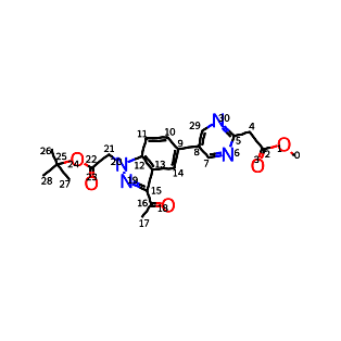 COC(=O)Cc1ncc(-c2ccc3c(c2)c(C(C)=O)nn3CC(=O)OC(C)(C)C)cn1